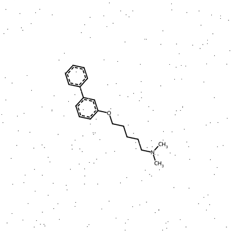 CN(C)CCCCCOc1cccc(-c2ccccc2)c1